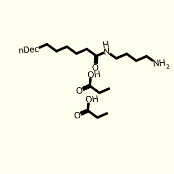 CCC(=O)O.CCC(=O)O.CCCCCCCCCCCCCCCC(=O)NCCCCN